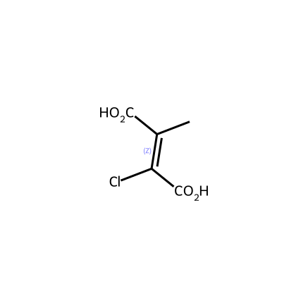 C/C(C(=O)O)=C(/Cl)C(=O)O